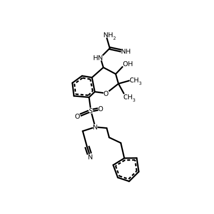 CC1(C)Oc2c(cccc2S(=O)(=O)N(CC#N)CCCc2ccccc2)C(NC(=N)N)C1O